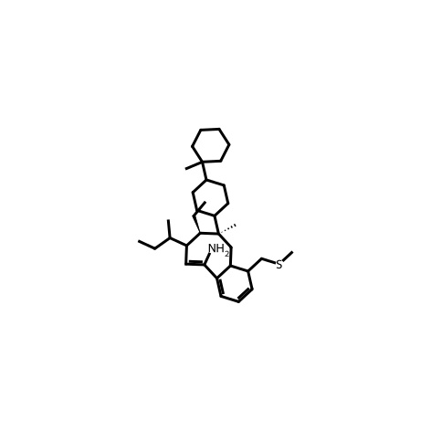 CCC(C)C1/C=C(\N)C2=CC=CC(CSC)C2C[C@](C)(C2CCC(C3(C)CCCCC3)CC2)[C@@H]1CC